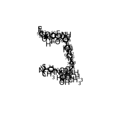 Cc1ncsc1-c1ccc(CNC(=O)[C@@H]2C[C@@H](O)CN2C(=O)[C@@H](NC(=O)CN2CC(N3CCN(c4ncc(-c5cnc6[nH]cc(C(=O)c7c(F)ccc(NS(=O)(=O)N8CC[C@@H](F)C8)c7F)c6c5)cn4)CC3)C2)C(C)(C)C)cc1